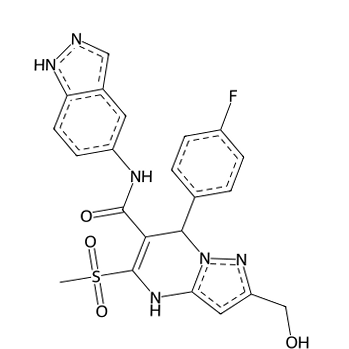 CS(=O)(=O)C1=C(C(=O)Nc2ccc3[nH]ncc3c2)C(c2ccc(F)cc2)n2nc(CO)cc2N1